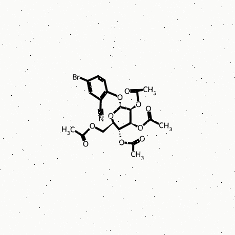 CC(=O)OC[C@H]1O[C@H](Oc2ccc(Br)cc2C#N)[C@@H](OC(C)=O)[C@@H](OC(C)=O)[C@@H]1OC(C)=O